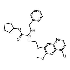 COc1cc2c(Cl)ccnc2cc1OCC[C@@H](NCc1ccccc1)C(=O)OC1CCCC1